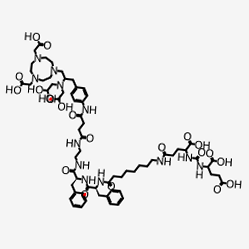 O=C(O)CCC(NC(=O)NC(CCC(=O)NCCCCCCCC(=O)N[C@@H](Cc1ccccc1)C(=O)N[C@@H](Cc1ccccc1)C(=O)NCCNC(=O)CCC(=O)Nc1ccc(CC(CN2CCN(CC(=O)O)CCN(CC(=O)O)CC2)N(CC(O)O)CC(O)O)cc1)C(=O)O)C(=O)O